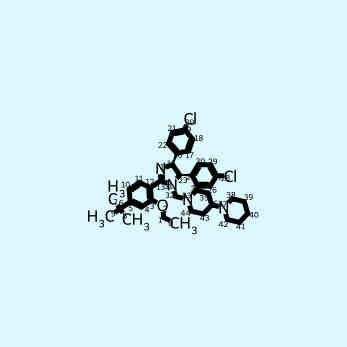 CCOc1cc(C(C)(C)C)ccc1C1=N[C@@H](c2ccc(Cl)cc2)[C@@H](c2ccc(Cl)cc2)N1CN1CCC(N2CCCCC2)CC1